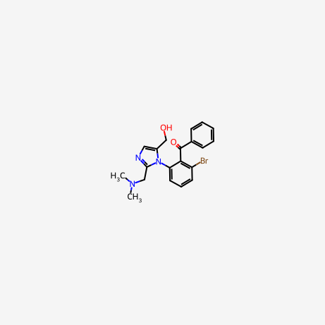 CN(C)Cc1ncc(CO)n1-c1cccc(Br)c1C(=O)c1ccccc1